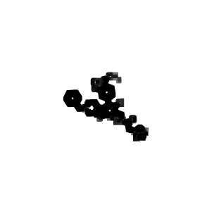 COc1ccc(-c2c(Cl)c(CNC(=O)Cn3cncn3)nc3sc4c(c23)CCN(Cc2ccccc2)C4)cc1OC